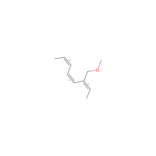 C\C=C/C=C\C(=C/C)COC